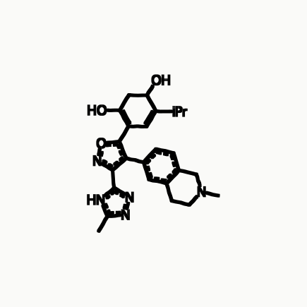 Cc1nnc(-c2noc(C3=C(O)CC(O)C(C(C)C)=C3)c2-c2ccc3c(c2)CCN(C)C3)[nH]1